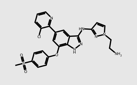 CS(=O)(=O)c1ccc(Oc2cc(-c3ncccc3Cl)cc3c(Nc4ccn(CCN)n4)n[nH]c23)cc1